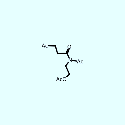 CC(=O)CCC(=O)N(CCOC(C)=O)C(C)=O